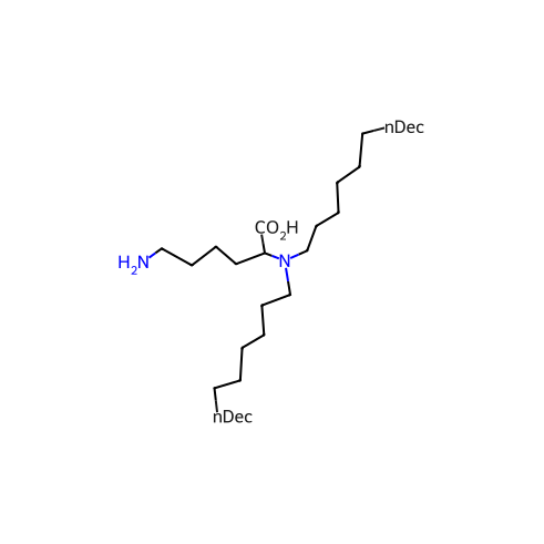 CCCCCCCCCCCCCCCCN(CCCCCCCCCCCCCCCC)C(CCCCN)C(=O)O